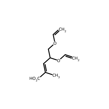 C=COCC(C=C(C)C(=O)O)OC=C